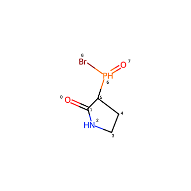 O=C1NCCC1[PH](=O)Br